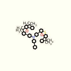 CC1(C)c2cccc(-c3ccc(N(c4ccc(-c5ccccc5)cc4)c4ccc(-c5cccc6c5Oc5c(ccc7c5-c5ccccc5C7(C)C)S6)cc4)cc3)c2Oc2c1ccc1c2-c2ccccc2C1(C)C